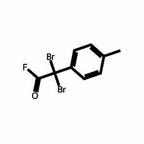 Cc1ccc(C(Br)(Br)C(=O)F)cc1